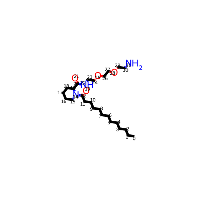 CCCCCCCCCCCCC(=O)N1CCCCC1C(=O)NCCOCCOCCN